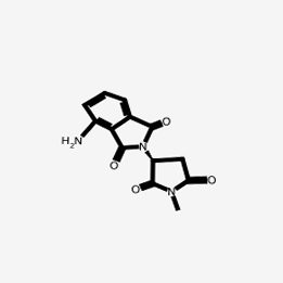 CN1C(=O)C[C@H](N2C(=O)c3cccc(N)c3C2=O)C1=O